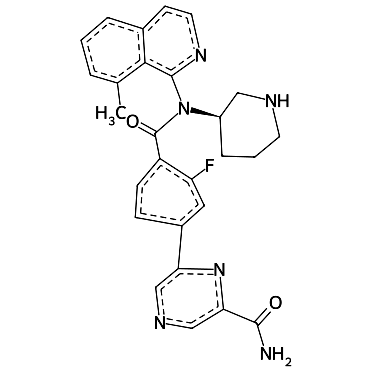 Cc1cccc2ccnc(N(C(=O)c3ccc(-c4cncc(C(N)=O)n4)cc3F)[C@@H]3CCCNC3)c12